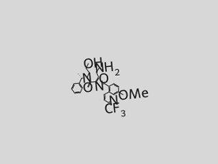 COc1ccc(-c2nc(C(=O)N(CCO)[C@@H](C)c3ccccc3)c(CN)o2)c2ccc(C(F)(F)F)nc12